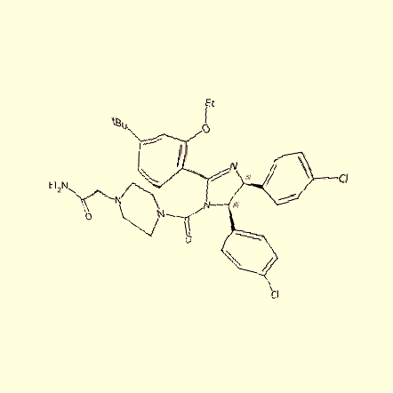 CCOc1cc(C(C)(C)C)ccc1C1=N[C@@H](c2ccc(Cl)cc2)[C@@H](c2ccc(Cl)cc2)N1C(=O)N1CCN(CC(N)=O)CC1